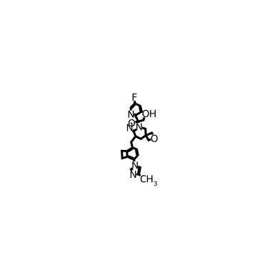 Cc1cn(-c2ccc(CC3CC4(COC4)CN4C3=NOC4(CO)c3ccc(F)cn3)c3c2CC3)cn1